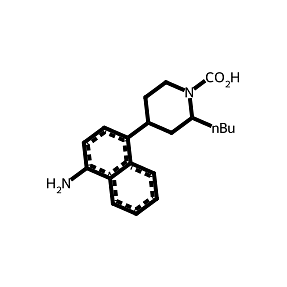 CCCCC1CC(c2ccc(N)c3ccccc23)CCN1C(=O)O